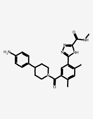 CNC(=O)c1nnc(-c2cc(C(=O)N3CCC(c4ccc(N)cc4)CC3)c(C)cc2C)[nH]1